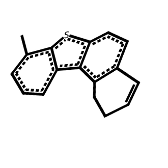 Cc1cccc2c1sc1ccc3c(c12)CCC=C3